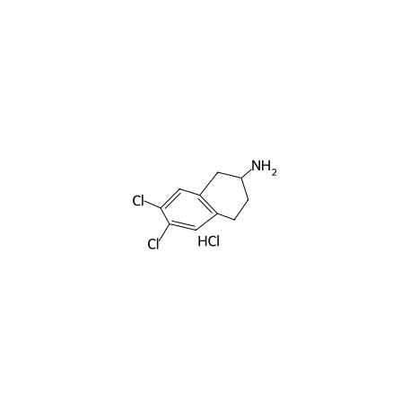 Cl.NC1CCc2cc(Cl)c(Cl)cc2C1